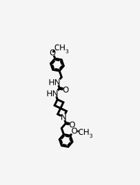 COc1ccc(CNC(=O)NC2CC3(C2)CN(C(=O)Cc2ccccc2OC)C3)cc1